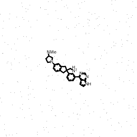 CNC1CCN(c2ccc3c(c2)CC(CN)(c2cccc(-c4ncnc5[nH]ccc45)c2)C3)C1